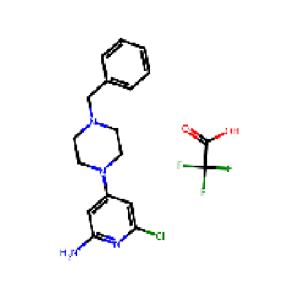 Nc1cc(N2CCN(Cc3ccccc3)CC2)cc(Cl)n1.O=C(O)C(F)(F)F